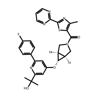 Cc1nc(-c2ncccn2)sc1C(=O)N1C[C@@H]2[C@H](C1)[C@H]2Oc1cc(-c2ccc(F)cc2)nc(C(C)(C)O)c1